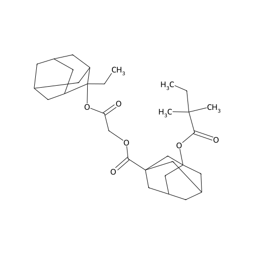 CCC(C)(C)C(=O)OC12CC3CC(C1)CC(C(=O)OCC(=O)OC1(CC)C4CC5CC(C4)CC1C5)(C3)C2